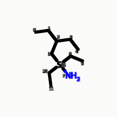 CCC(CC)C[Si](N)(CC)CC